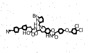 N#Cc1ccc(-c2ccc(CC(NC(=O)C3Cc4cc5c(cc4CN3Cc3cccc(Br)n3)OC(c3ccc(OCc4ccc(Cl)c(Cl)c4)cc3)C(=O)N5)C(=O)O)cc2)cc1